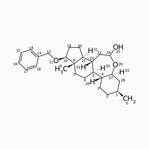 C[C@H]1CC[C@@H]2[C@H]3CC[C@]4(C)[C@@H](OCc5ccccc5)CC[C@H]4[C@@H]3CC(O)O[C@H]2C1